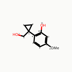 COc1ccc(C2(CO)CC2)c(O)c1